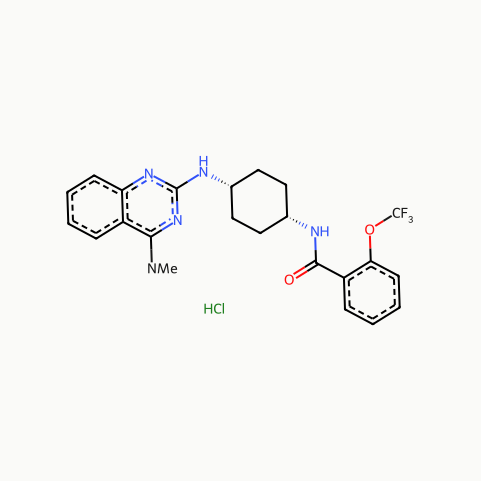 CNc1nc(N[C@H]2CC[C@@H](NC(=O)c3ccccc3OC(F)(F)F)CC2)nc2ccccc12.Cl